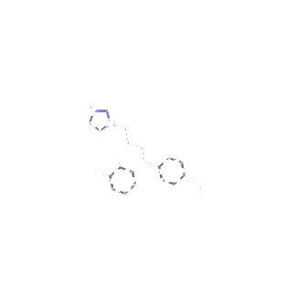 CC(C)(C)Oc1ccc(CCC(Cn2ccnc2)Sc2ccccc2Cl)cc1